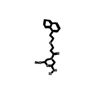 CCNCCN(CC(OC)OC)C(=O)CCOCCc1cccc2ccccc12